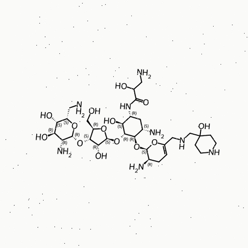 NCC(O)C(=O)N[C@@H]1C[C@H](N)[C@@H](O[C@H]2OC(CNCC3(O)CCNCC3)=CC[C@H]2N)[C@H](O[C@@H]2O[C@H](CO)[C@@H](O[C@H]3O[C@@H](CN)[C@@H](O)[C@H](O)[C@H]3N)[C@H]2O)[C@H]1O